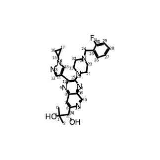 CC(C)(O)[C@@H](O)c1cc2nc(-c3cnn(C4CC4)c3)c(N3CCN(Cc4ccccc4F)CC3)nc2cn1